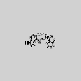 CC1CCN(C(=O)c2ccccc2F)CC1N(C)c1ncnc2[nH]ccc12